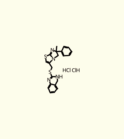 CC1(c2ccccc2)CN2C(CSC3=Nc4ccccc4CN3)=CSC2=N1.Cl.Cl